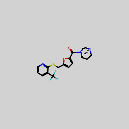 O=C(c1ccc(CSc2ncccc2C(F)(F)F)o1)N1CCN2CCC1CC2